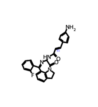 Nc1ccc(/C=C/C(=O)NC2N=C(c3ccccc3F)c3cccc4c3N(CC4)C2=O)cc1